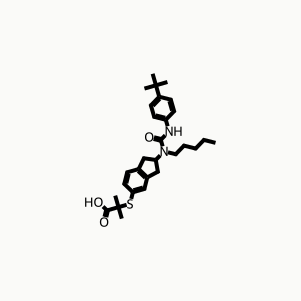 CCCCCN(C(=O)Nc1ccc(C(C)(C)C)cc1)C1Cc2ccc(SC(C)(C)C(=O)O)cc2C1